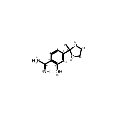 CC1(c2ccc(C(=N)N)c(O)c2)OCCO1